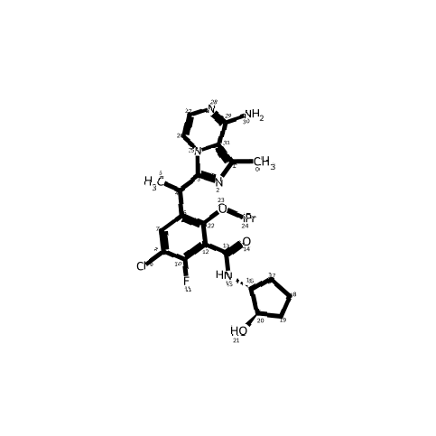 Cc1nc(C(C)c2cc(Cl)c(F)c(C(=O)N[C@@H]3CCC[C@H]3O)c2OC(C)C)n2ccnc(N)c12